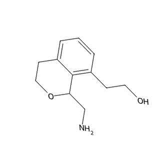 NCC1OCCc2cccc(CCO)c21